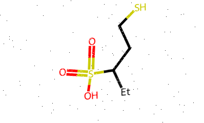 CCC(CCS)S(=O)(=O)O